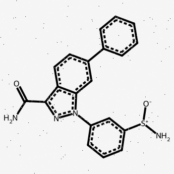 NC(=O)c1nn(-c2cccc([S+](N)[O-])c2)c2cc(-c3ccccc3)ccc12